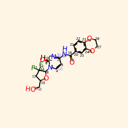 C/N=C(\C=C/N(C=O)C1OC(CO)CC1(F)F)NC(=O)c1ccc2c(c1)OCCO2